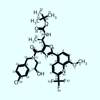 COc1ccc(-c2nc(C(=O)N(CCO)Cc3ccc(Cl)cc3)c([C@@H](C)NC(=O)OC(C)(C)C)o2)c2ccc(C(F)(F)F)nc12